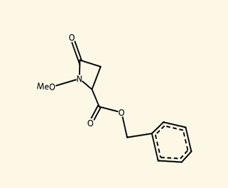 CON1C(=O)CC1C(=O)OCc1ccccc1